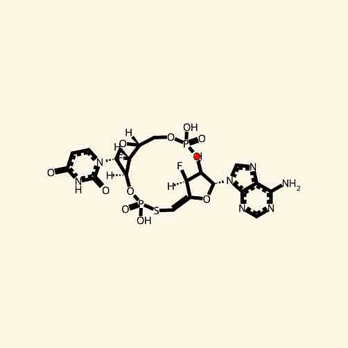 Nc1ncnc2c1ncn2[C@@H]1O/C2=C/SP(=O)(O)O[C@@H]3[C@H](F)[C@@H](COP(=O)(O)O[C@@H]1[C@@H]2F)O[C@H]3n1ccc(=O)[nH]c1=O